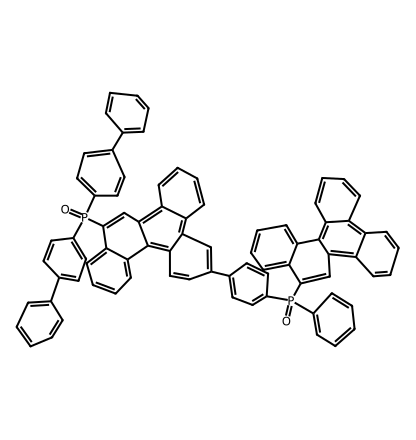 O=P(c1ccccc1)(c1ccc(-c2ccc3c(c2)c2ccccc2c2cc(P(=O)(c4ccc(-c5ccccc5)cc4)c4ccc(-c5ccccc5)cc4)c4ccccc4c32)cc1)c1cc2c3ccccc3c3ccccc3c2c2ccccc12